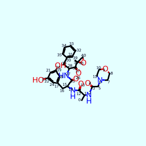 CC(NC(=O)CN1CCOCC1)C(=O)NC(Cc1cc(O)cc(O)c1)C(=O)NC(Cc1ccccc1)C(=O)C1(C)CO1